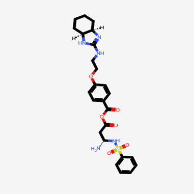 N[C@H](CC(=O)OC(=O)c1ccc(OCCNC2=N[C@@H]3CCCC[C@@H]3N2)cc1)NS(=O)(=O)c1ccccc1